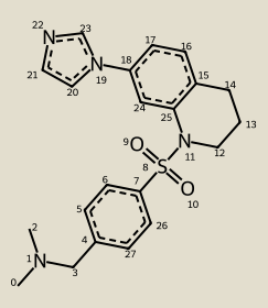 CN(C)Cc1ccc(S(=O)(=O)N2CCCc3ccc(-n4ccnc4)cc32)cc1